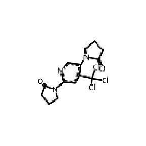 O=C1CCCN1c1cc(C(Cl)(Cl)Cl)c(N2CCCC2=O)cn1